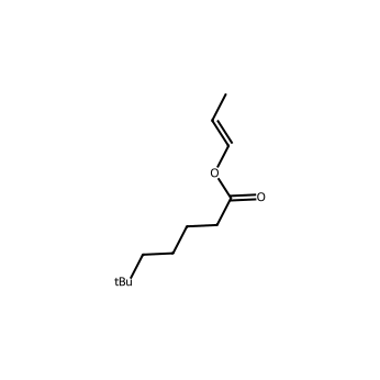 CC=COC(=O)CCCCC(C)(C)C